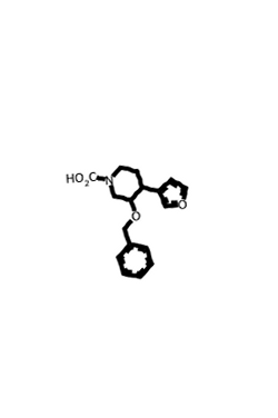 O=C(O)N1CCC(c2ccoc2)C(OCc2ccccc2)C1